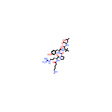 CNCCCCC(=O)N[C@@H](CCCNC(=N)N)C(=O)N1CCC[C@H]1C(=O)N[C@@H](Cc1ccc(O)cc1)C(=O)N[C@H](C(=O)N[C@@H](CC(C)C)C(=O)O)C(C)(C)C